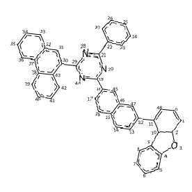 C1=CC2Oc3ccccc3C2C(c2ccc3ccc(-c4nc(-c5ccccc5)nc(-c5cc6ccccc6c6ccccc56)n4)cc3c2)=C1